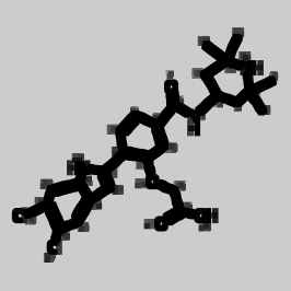 CC1(C)CC(NC(=O)c2ccc(-c3cc4cc(Cl)c(Cl)cc4[nH]3)c(OCC(=O)O)c2)CC(C)(C)N1